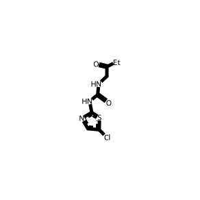 CCC(=O)CNC(=O)Nc1ncc(Cl)s1